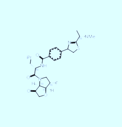 CN[C@@H](C)C1=NC(c2ccc(C(=O)N[C@@H](CC(C)C)C(=O)N3C[C@H](F)[C@H]4OCC(=O)[C@H]43)cc2)CS1